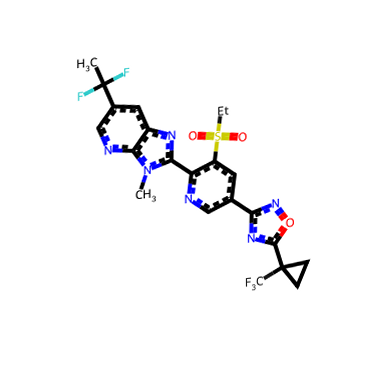 CCS(=O)(=O)c1cc(-c2noc(C3(C(F)(F)F)CC3)n2)cnc1-c1nc2cc(C(C)(F)F)cnc2n1C